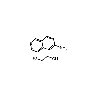 Nc1ccc2ccccc2c1.OCCO